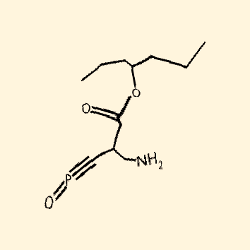 CCCC(CC)OC(=O)C(N)C#P=O